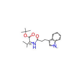 CC(C)[C@H](NC(=O)CCc1cn(C)c2ccccc12)C(=O)OC(C)(C)C